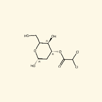 O=C(O[C@@H]1C[C@H](O)OC(CO)[C@H]1O)C(Cl)Cl